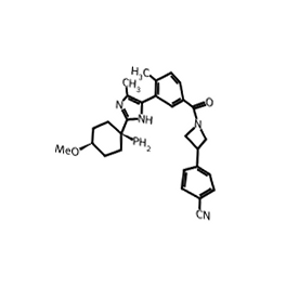 CO[C@H]1CC[C@](P)(c2nc(C)c(-c3cc(C(=O)N4CC(c5ccc(C#N)cc5)C4)ccc3C)[nH]2)CC1